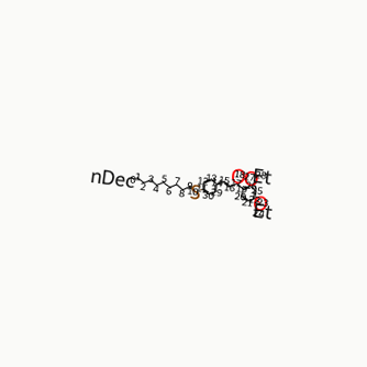 CCCCCCCCCCCCCCCCCCCSc1ccc(C=CC(=O)c2ccc(OCC)cc2OCC)cc1